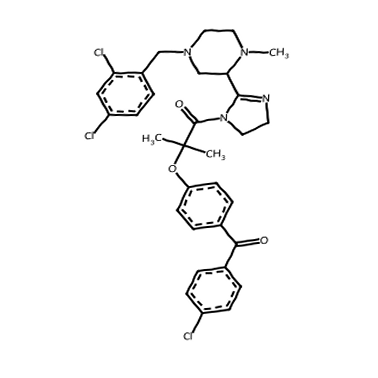 CN1CCN(Cc2ccc(Cl)cc2Cl)CC1C1=NCCN1C(=O)C(C)(C)Oc1ccc(C(=O)c2ccc(Cl)cc2)cc1